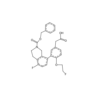 O=C(O)Cc1ccc(OCCF)c(-c2ccc(F)c3c2CN(C(=O)OCc2ccccc2)CC3)c1